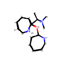 CC(N(C)C)C1(OC2CCCCC[N]2)CCCCC[N]1